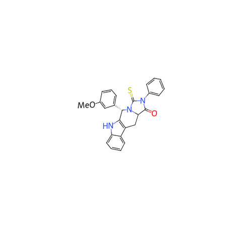 COc1cccc([C@H]2c3[nH]c4ccccc4c3CC3C(=O)N(c4ccccc4)C(=S)N32)c1